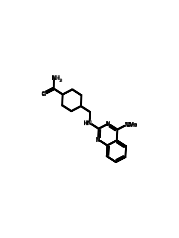 CNc1nc(NCC2CCC(C(N)=O)CC2)nc2ccccc12